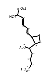 CCCCCCCCC(O)/C=C/C=C/C1CCC1C(CCCC(=O)O)OC(C)=O